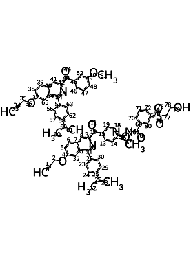 C#CCOc1ccc2cc(C(=O)c3ccc(OC)cc3)nc(-c3ccc(C(C)C)cc3)c2c1.C#CCOc1ccc2cc(C(=O)c3cccc(OC)c3)nc(-c3ccc(C(C)C)cc3)c2c1.NC(=O)c1cccc(S(=O)(=O)CCO)c1